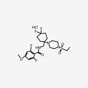 CCS(=O)(=O)N1CCN(C2(CNC(=O)c3c(F)cc(OC)cc3F)CCC(F)(F)CC2)CC1.Cl